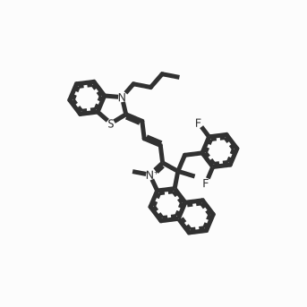 CCCCN1/C(=C/C=C/C2=[N+](C)c3ccc4ccccc4c3C2(C)Cc2c(F)cccc2F)Sc2ccccc21